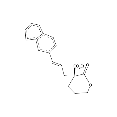 CCOC(=O)[C@]1(C/C=C/c2ccc3ccccc3c2)CCCOC1=O